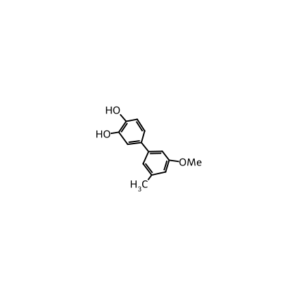 COc1cc(C)cc(-c2ccc(O)c(O)c2)c1